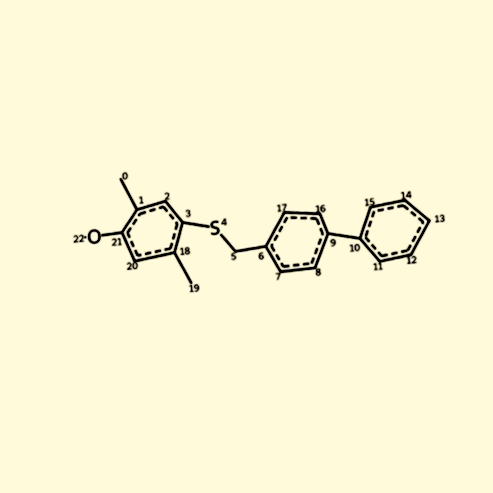 Cc1cc(SCc2ccc(-c3ccccc3)cc2)c(C)cc1[O]